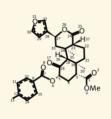 COC(=O)[C@@H]1C[C@H](OC(=O)c2ccc(C)cc2)C(=O)[C@H]2[C@@]1(C)CC[C@H]1C(=O)O[C@H](c3ccoc3)C[C@]21C